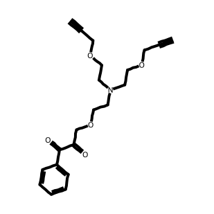 C#CCOCCN(CCOCC#C)CCOCC(=O)C(=O)c1ccccc1